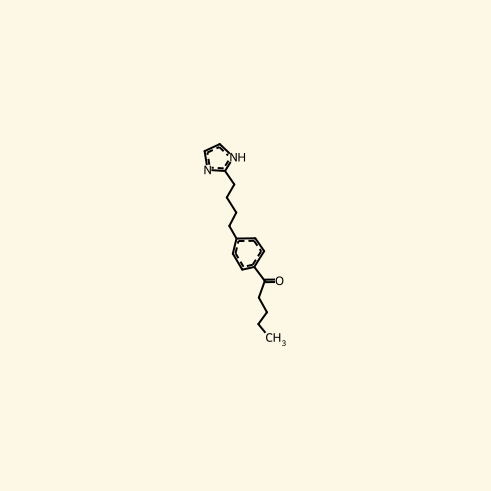 CCCCC(=O)c1ccc(CCCCc2ncc[nH]2)cc1